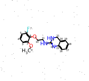 COc1cccc(F)c1OCCNC1=Nc2ccccc2CN1